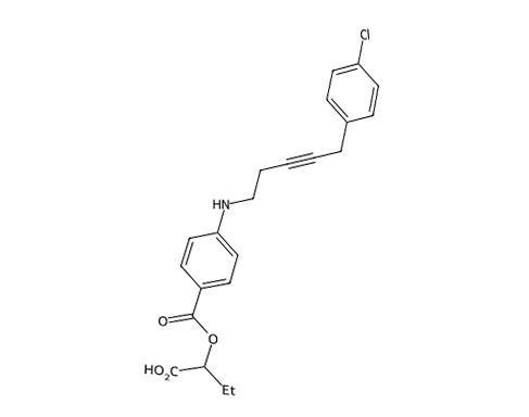 CCC(OC(=O)c1ccc(NCCC#CCc2ccc(Cl)cc2)cc1)C(=O)O